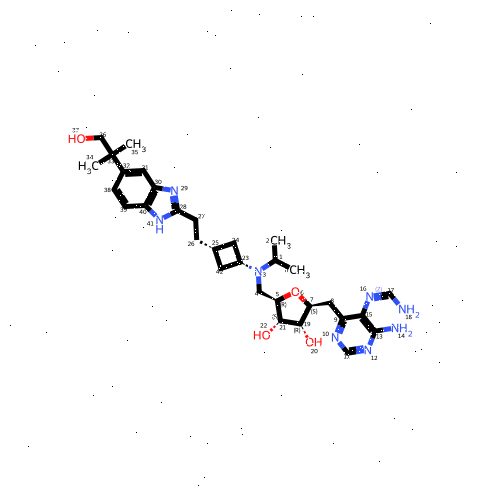 CC(C)N(C[C@H]1O[C@@H](Cc2ncnc(N)c2/N=C\N)[C@H](O)[C@@H]1O)[C@H]1C[C@@H](CCc2nc3cc(C(C)(C)CO)ccc3[nH]2)C1